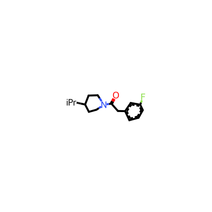 CC(C)C1CCN(C(=O)Cc2cccc(F)c2)CC1